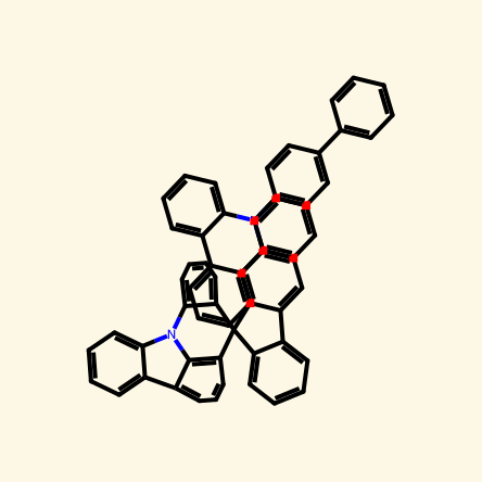 c1ccc(-c2ccc(N(c3ccc4c(c3)C3(c5ccccc5-4)c4ccccc4-n4c5ccccc5c5cccc3c54)c3ccccc3-c3ccccc3-c3ccccc3)cc2)cc1